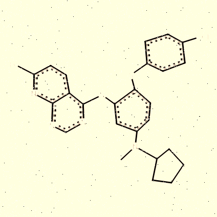 CC(C)c1ccc2c(Nc3cc(N(C)C4CCCC4)ccc3Sc3ccc(O)cc3)ncnc2n1